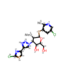 COC1C(Sc2cc(Cl)cnc2C#N)OC(CO)C(O)C1n1cc(-c2csc(Cl)n2)nn1